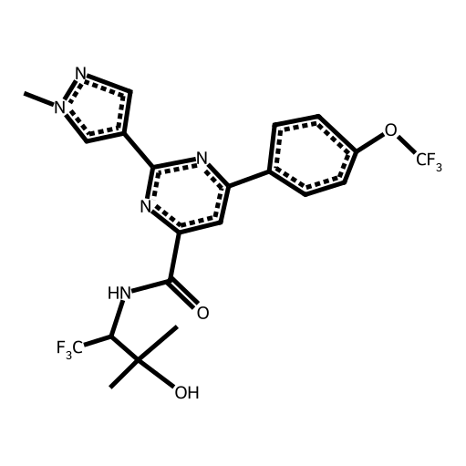 Cn1cc(-c2nc(C(=O)NC(C(C)(C)O)C(F)(F)F)cc(-c3ccc(OC(F)(F)F)cc3)n2)cn1